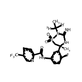 [2H]C([2H])(C)N1C(=N)N[C@](C)(c2cc(NC(=O)c3ccc(C(F)(F)F)cn3)ccc2F)CS1(=O)=O